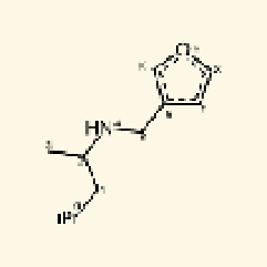 CC(C)CC(C)NCc1ccoc1